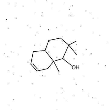 CC1(C)CCC2CC=CCC2(C)C1O